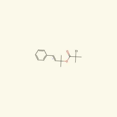 CCC(C)(C)C(=O)OC(C)(C)/C=C/c1ccccc1